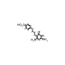 Nc1nc(N)c(CCCSc2ccc(C(=O)O)cc2)c(=O)[nH]1